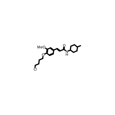 COc1cc(C=CC(=O)NC2CCC(C)CC2)ccc1OCCCCCl